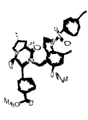 COC(=O)c1ccc(C2C(=O)N3C[C@H](C)C[C@H]3C(=O)N2Cc2c(OC)cc(C)c3c2ccn3S(=O)(=O)c2ccc(C)cc2)cc1